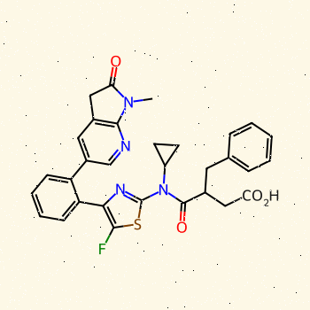 CN1C(=O)Cc2cc(-c3ccccc3-c3nc(N(C(=O)C(CC(=O)O)Cc4ccccc4)C4CC4)sc3F)cnc21